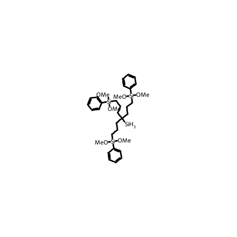 CO[Si](CCCC([SiH3])(CCC[Si](OC)(OC)c1ccccc1)CCC[Si](OC)(OC)c1ccccc1)(OC)c1ccccc1